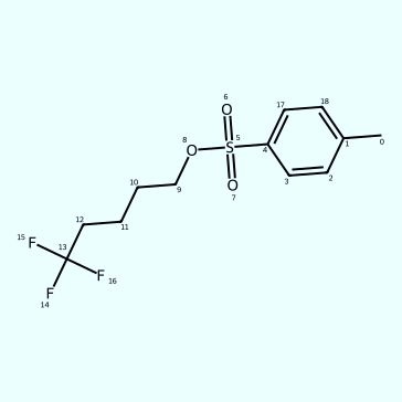 Cc1ccc(S(=O)(=O)OCCCCC(F)(F)F)cc1